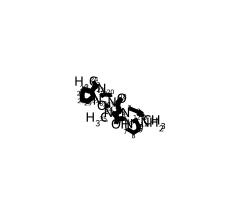 CC#CCn1c(N2CCC[C@@H](N)C2)c(O)c2c1c(=O)n(Cc1nc(C)c3ccccc3n1)c(=O)n2C